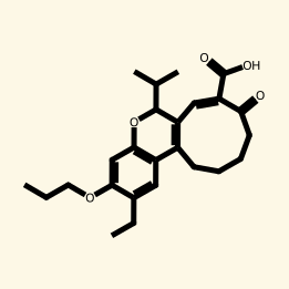 CCCOc1cc2c(cc1CC)C1=C(/C=C(/C(=O)O)C(=O)CCCC1)C(C(C)C)O2